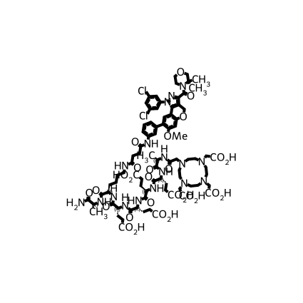 COc1cc2c(cc1-c1cccc(NC(=O)CCC(=O)NCCCC[C@@H](NC(=O)[C@@H](CCC(=O)O)NC(=O)[C@@H](CCC(=O)O)NC(=O)[C@@H](CCC(=O)O)NC(=O)[C@@H](CCC(=O)O)NC(=O)[C@@H](C)NC(=O)CN3CCN(CC(=O)O)CCN(CC(=O)O)CCN(CC(=O)O)CC3)C(=O)N[C@H](C)C(N)=O)c1)-c1c(c(C(=O)N3CCOCC3(C)C)nn1-c1cc(Cl)cc(Cl)c1)CO2